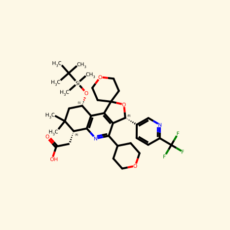 CC1(C)C[C@H](O[Si](C)(C)C(C)(C)C)c2c(nc(C3CCOCC3)c3c2C2(CCOCC2)O[C@@H]3c2ccc(C(F)(F)F)nc2)[C@@H]1CC(=O)O